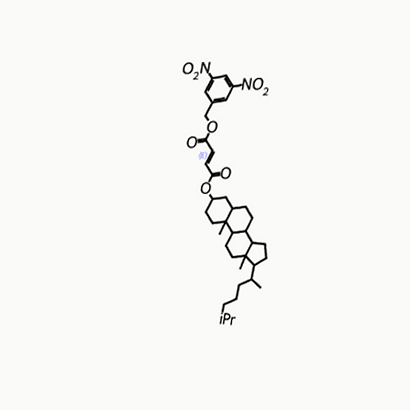 CC(C)CCCC(C)C1CCC2C3CCC4CC(OC(=O)/C=C/C(=O)OCc5cc([N+](=O)[O-])cc([N+](=O)[O-])c5)CCC4(C)C3CCC12C